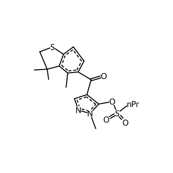 CCCS(=O)(=O)Oc1c(C(=O)c2ccc3c(c2C)C(C)(C)CS3)cnn1C